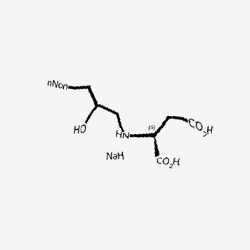 CCCCCCCCCCC(O)CN[C@@H](CC(=O)O)C(=O)O.[NaH]